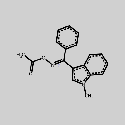 CC(=O)O/N=C(\c1ccccc1)c1cn(C)c2ccccc12